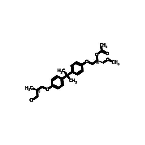 COC[C@H](COc1ccc(C(C)(C)c2ccc(OC[C@H](C)CCl)cc2)cc1)OC(C)=O